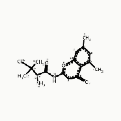 Cc1cc(C)c2c(=O)cc(NC(=O)[C@@H](N)C(C)(C)Cl)oc2c1